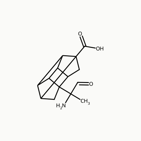 CC(N)(C=O)C12CC3C4C5C(C1CC35C(=O)O)C42